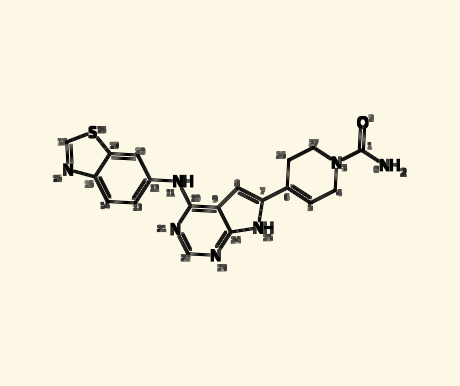 NC(=O)N1CC=C(c2cc3c(Nc4ccc5ncsc5c4)ncnc3[nH]2)CC1